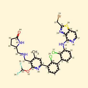 Cc1cc(-c2cccc(-c3cccc(Nc4nccc5sc(CBr)nc45)c3Cl)c2Cl)nc(OC(F)F)c1CNCC1CCC(=O)N1